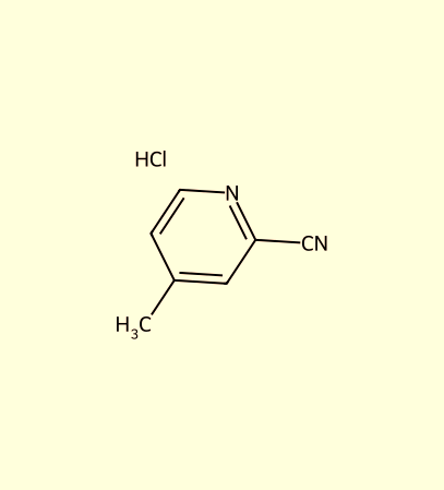 Cc1ccnc(C#N)c1.Cl